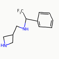 FC(F)(F)C(NCC1CNC1)c1ccccc1